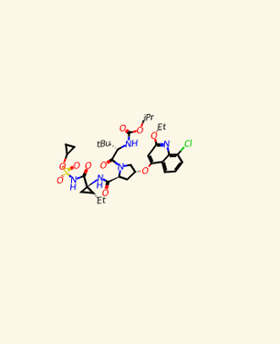 CCOc1cc(O[C@@H]2C[C@@H](C(=O)N[C@]3(C(=O)NS(=O)(=O)OC4CC4)C[C@H]3CC)N(C(=O)[C@@H](NC(=O)OC(C)C)C(C)(C)C)C2)c2cccc(Cl)c2n1